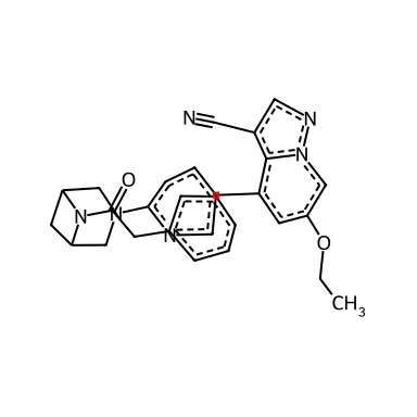 CCOc1cc(-c2ccc(N3CC4CC(C3)N4C(=O)Cc3ccccc3)nc2)c2c(C#N)cnn2c1